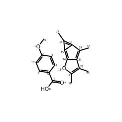 COc1ccc(C(=O)O)cc1.Cc1oc2c3c(C)c-3c(C)c2c1C